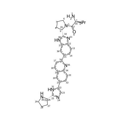 CC(C)[C@H](N)C(=O)N1CCC[C@H]1c1nc2ccc(-c3ccc4cc(-c5cnc([C@@H]6CCCN6)[nH]5)ccc4n3)cc2[nH]1